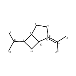 CC(C)=[N+]1CCC2C(C(C)C)CC21